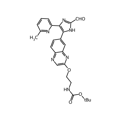 Cc1cccc(-c2nc(C=O)[nH]c2-c2ccc3ncc(OCCNC(=O)OC(C)(C)C)nc3c2)n1